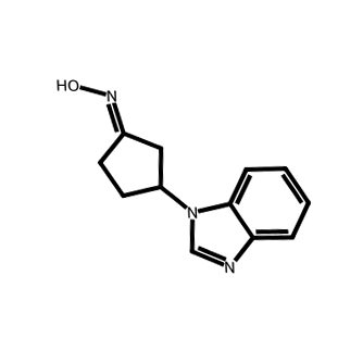 O/N=C1\CCC(n2cnc3ccccc32)C1